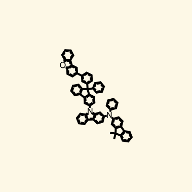 CC1(C)c2ccccc2-c2ccc(N(c3ccccc3)c3ccc4c5ccccc5n(-c5ccc6c(c5)-c5ccccc5C6(c5ccccc5)c5cccc(-c6ccc7oc8ccccc8c7c6)c5)c4c3)cc21